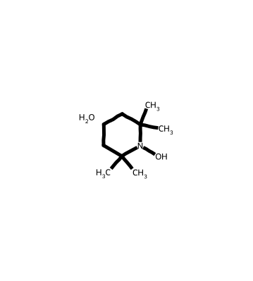 CC1(C)CCCC(C)(C)N1O.O